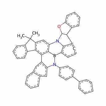 CC1(C)c2ccccc2-c2c1cc1c3c2-c2cc4ccccc4cc2N(c2ccc(-c4ccccc4)cc2)B3c2cccc3c2N1C1Oc2ccccc2C31